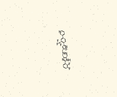 Fc1cccc(-c2nc3c([nH]2)C=NN(Cc2cc(-c4ccc(-c5cccnc5)cc4C(F)(F)F)no2)C3)c1F